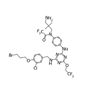 CC(C)(CN)CN(C(=O)C(F)(F)F)c1ccc(Nc2nc(NCc3ccc(OCCCBr)c(Cl)c3)nc(OCC(F)(F)F)n2)cc1